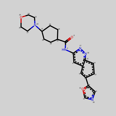 O=C(Nc1cc2cc(-c3cnco3)ccc2nn1)C1CCC(N2CCOCC2)CC1